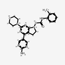 Cc1ccccc1NC(=O)ON1CCc2c(-c3cnc(N)nc3)nc(N3CCOCC3)nc21